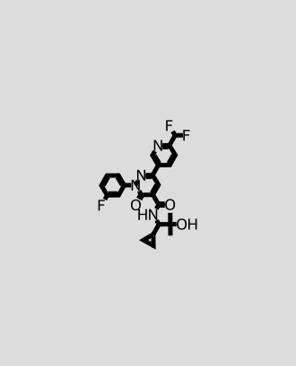 CC(C)(O)C(NC(=O)c1cc(-c2ccc(C(F)F)nc2)nn(-c2cccc(F)c2)c1=O)C1CC1